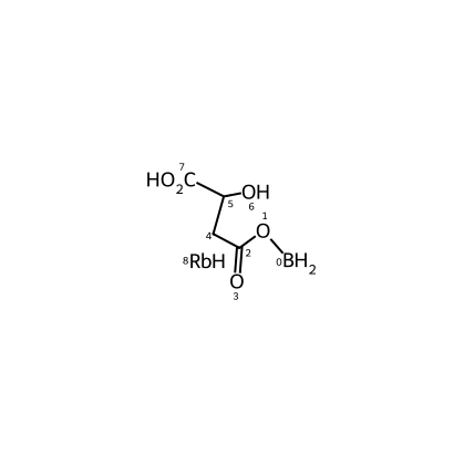 BOC(=O)CC(O)C(=O)O.[RbH]